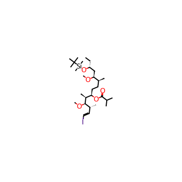 CC[C@H](C[C@H](OC)[C@@H](C)CC[C@@H](OC(=O)C(C)C)[C@H](C)[C@H](OC)[C@H](C)/C=C/I)O[Si](C)(C)C(C)(C)C